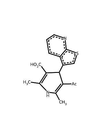 CC(=O)C1=C(C)NC(C)=C(C(=O)O)C1c1csc2ncccc12